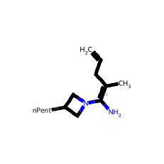 C=CC/C(C)=C(/N)N1CC(CCCCC)C1